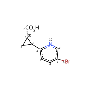 O=C(O)[C@H]1CC1c1ccc(Br)cn1